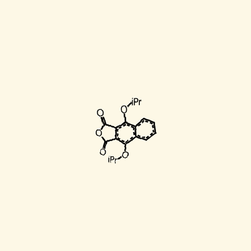 CC(C)Oc1c2c(c(OC(C)C)c3ccccc13)C(=O)OC2=O